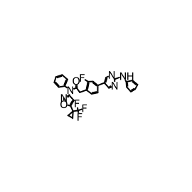 O=C(Cc1ccc(-c2cnc(Nc3ccccc3)nc2)cc1F)N(c1ccccc1)c1cc(C2(C(F)(F)F)CC2)on1